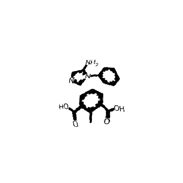 Cc1c(C(=O)O)cccc1C(=O)O.Nc1cncn1-c1ccccc1